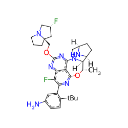 C[C@@H]1Oc2nc(-c3cc(N)ccc3C(C)(C)C)c(F)c3nc(OC[C@@]45CCCN4C[C@H](F)C5)nc(c23)N2C[C@H]3CC[C@H](N3)[C@@H]12